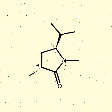 CC(C)[C@@H]1C[C@@H](C)C(=O)N1C